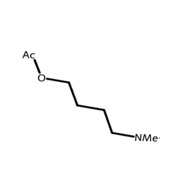 C[N]CCCCOC(C)=O